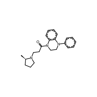 C[C@@H]1CCCN1CCC(=O)N1CCN(c2ccccc2)c2ccccc21